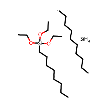 CCCCCCCC[Si](OCC)(OCC)OCC.[CH2]CCCCCCCCC.[SiH4]